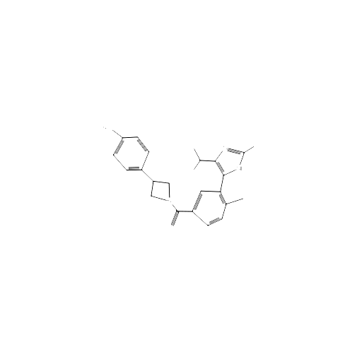 Cc1nc(C(F)F)c(-c2cc(C(=O)N3CC(c4ccc(C#N)cc4)C3)ccc2C)[nH]1